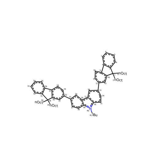 CCCCCCCCC1(CCCCCCCC)c2ccccc2-c2ccc(-c3ccc4c(c3)c3cc(-c5ccc6c(c5)C(CCCCCCCC)(CCCCCCCC)c5ccccc5-6)ccc3n4C(C)CC)cc21